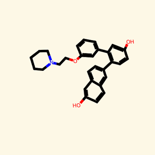 Oc1ccc(-c2ccc3cc(O)ccc3c2)c(-c2cccc(OCCN3CCCCC3)c2)c1